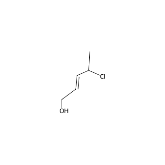 CC(Cl)C=CCO